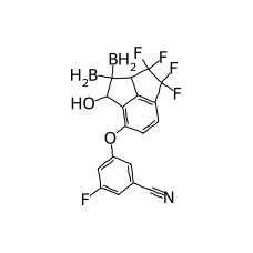 BC1(B)C(O)c2c(Oc3cc(F)cc(C#N)c3)ccc3c2C1C(F)(F)C3(F)F